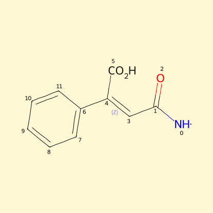 [NH]C(=O)/C=C(\C(=O)O)c1ccccc1